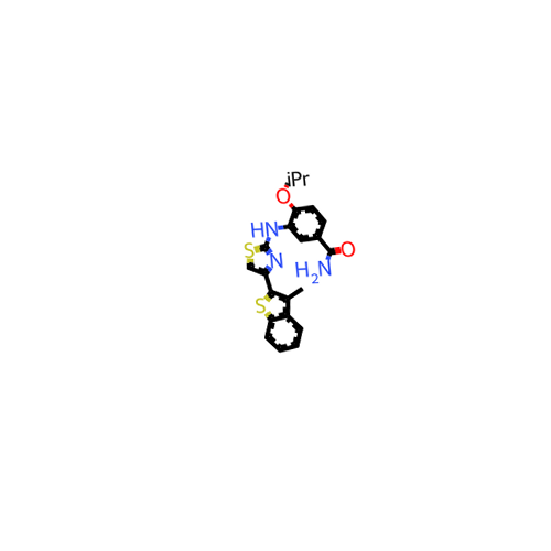 Cc1c(-c2csc(Nc3cc(C(N)=O)ccc3OC(C)C)n2)sc2ccccc12